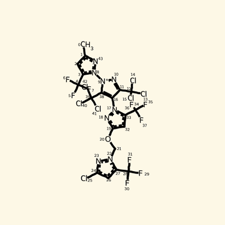 Cc1cc(C(F)(F)F)n([N+]2N=C(C(Cl)(Cl)Cl)C(n3nc(OCn4nc(Cl)cc4C(F)(F)F)cc3C(F)(F)F)=C2C(Cl)(Cl)Cl)n1